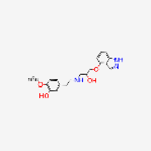 CCCCOc1ccc(CCNCC(O)COc2cccc3[nH]ncc23)cc1O